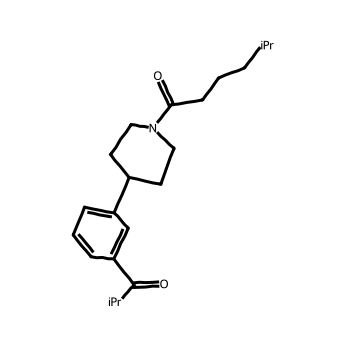 CC(C)CCCC(=O)N1CCC(c2cccc(C(=O)C(C)C)c2)CC1